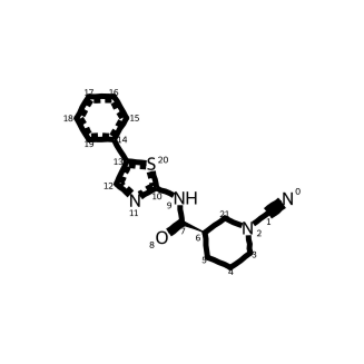 N#CN1CCC[C@@H](C(=O)Nc2ncc(-c3ccccc3)s2)C1